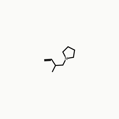 C=CC(C)CN1CCCC1